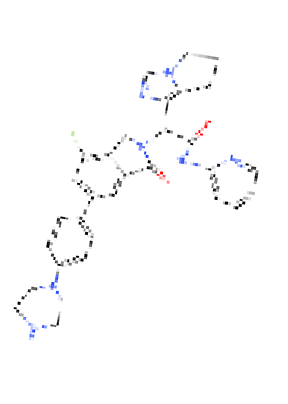 O=C(Nc1ccccn1)C(c1ncn2c1CCC2)N1Cc2c(F)cc(-c3ccc(N4CCNCC4)cc3)cc2C1=O